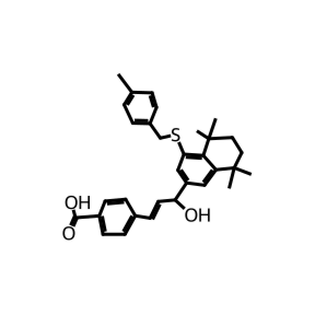 Cc1ccc(CSc2cc(C(O)C=Cc3ccc(C(=O)O)cc3)cc3c2C(C)(C)CCC3(C)C)cc1